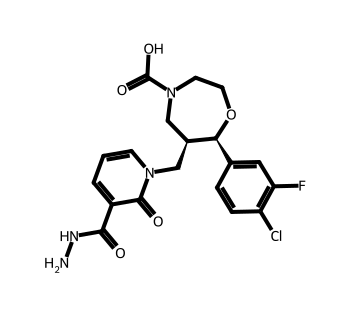 NNC(=O)c1cccn(C[C@H]2CN(C(=O)O)CCO[C@H]2c2ccc(Cl)c(F)c2)c1=O